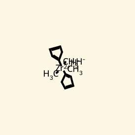 [CH3][Zr+2]([CH3])([CH3])([C]1=CC=CC1)[C]1=CC=CC1.[H-].[H-]